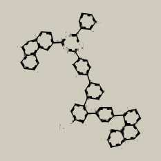 N#Cc1ccc(-c2cccc(-c3ccc(-c4nc(-c5ccccc5)nc(-c5ccc6ccc7ccccc7c6c5)n4)cc3)c2)c(-c2ccc(-c3cccc4ccc5ccccc5c34)cc2)c1